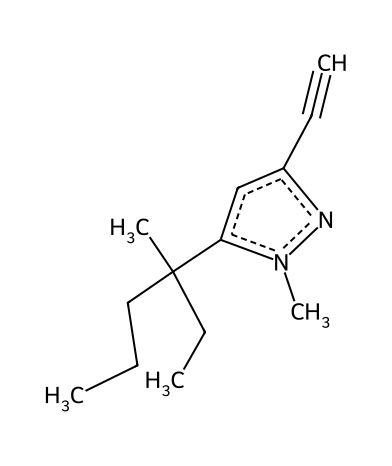 C#Cc1cc(C(C)(CC)CCC)n(C)n1